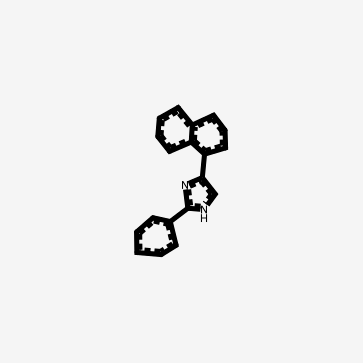 c1ccc(-c2nc(-c3cccc4ccccc34)c[nH]2)cc1